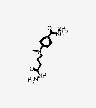 CN(CCCC(=O)NN)c1ccc(C(=O)NN)cc1